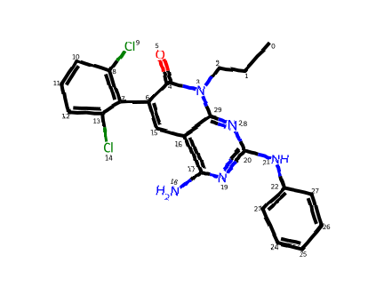 CCCn1c(=O)c(-c2c(Cl)cccc2Cl)cc2c(N)nc(Nc3ccccc3)nc21